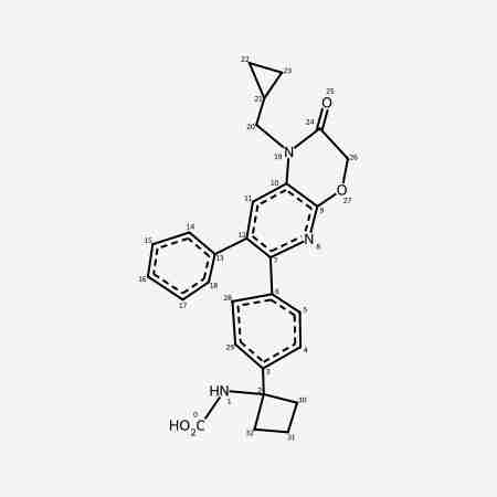 O=C(O)NC1(c2ccc(-c3nc4c(cc3-c3ccccc3)N(CC3CC3)C(=O)CO4)cc2)CCC1